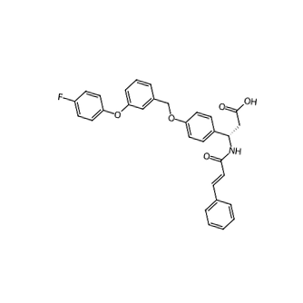 O=C(O)C[C@H](NC(=O)/C=C/c1ccccc1)c1ccc(OCc2cccc(Oc3ccc(F)cc3)c2)cc1